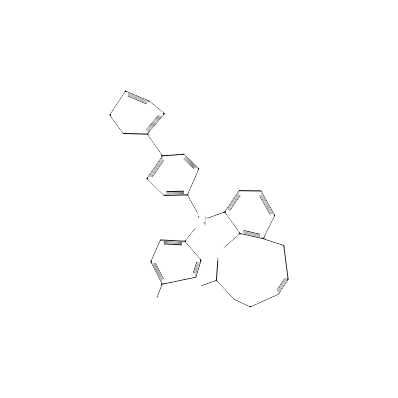 Cc1ccc(N(c2ccc(C3=CC=CCC3)cc2)c2cccc3c2SC(C)CC/C=C\C3)cc1